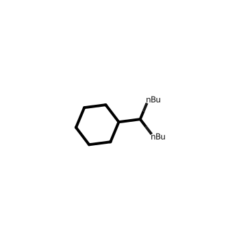 [CH2]CCCC(CCCC)C1CCCCC1